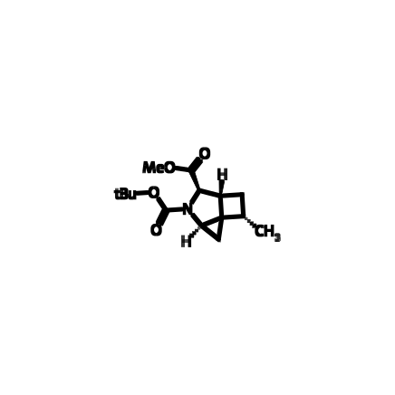 COC(=O)[C@H]1[C@@H]2C[C@H](C)C23C[C@H]3N1C(=O)OC(C)(C)C